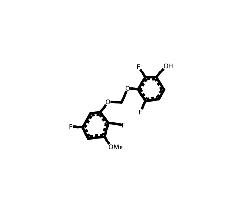 COc1cc(F)cc(OCOc2c(F)ccc(O)c2F)c1F